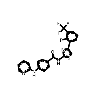 O=C(Nc1nc(-c2cccc(C(F)(F)F)c2F)cs1)c1ccc(Nc2ccccn2)cc1